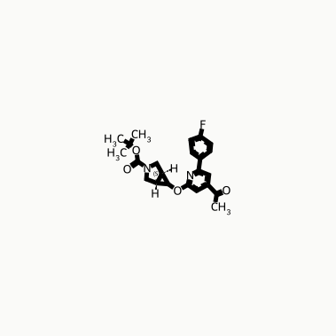 CC(=O)c1cc(OC2[C@H]3CN(C(=O)OC(C)(C)C)C[C@@H]23)nc(-c2ccc(F)cc2)c1